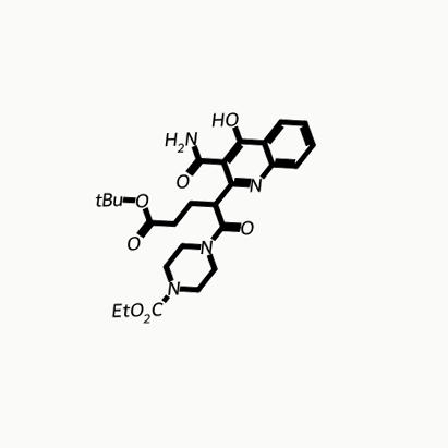 CCOC(=O)N1CCN(C(=O)C(CCC(=O)OC(C)(C)C)c2nc3ccccc3c(O)c2C(N)=O)CC1